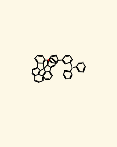 c1ccc(N(c2cccnc2)c2cccc(-c3ccc(-c4cccc5c4C4(c6ccccc6-c6ccccc64)c4c-5ccc5ccccc45)cc3)c2)cc1